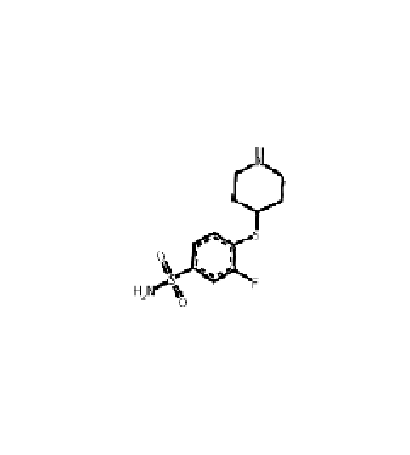 NS(=O)(=O)c1ccc(SC2CCNCC2)c(F)c1